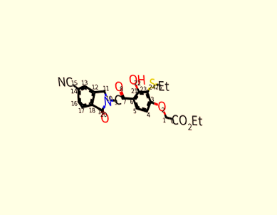 CCOC(=O)COc1ccc(C(=O)CN2Cc3cc(C#N)ccc3C2=O)c(O)c1SCC